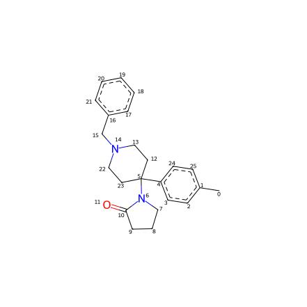 Cc1ccc(C2(N3CCCC3=O)CCN(Cc3ccccc3)CC2)cc1